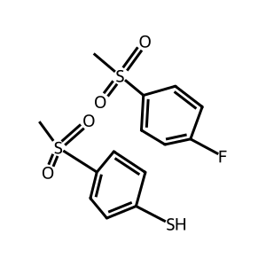 CS(=O)(=O)c1ccc(F)cc1.CS(=O)(=O)c1ccc(S)cc1